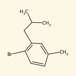 Cc1ccc(Br)c(CC(C)C)c1